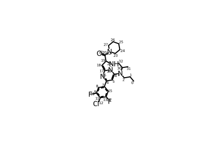 CCCN(C1=CC(c2cc(F)c(Cl)c(F)c2)=NC2=CC(C(=O)N3CCCCC3)NN21)C(C)C